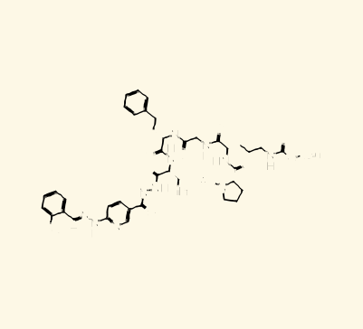 CC(=O)N1CCC[C@H]1C(=O)N[C@@H](CCCNC(=O)OC(C)(C)C)C(=O)NCC(=O)N[C@@H](CCc1ccccc1)C(=O)N[C@@H](CC(C)C)C(=O)NNC(=O)c1ccc(N/N=C/c2ccccc2S(=O)(=O)O)nc1